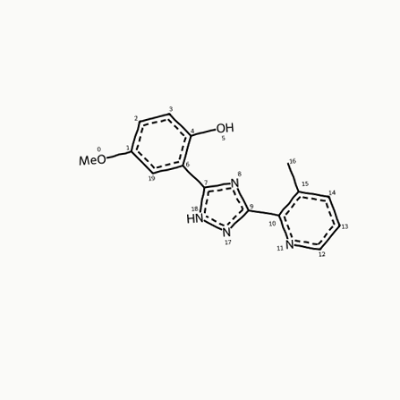 COc1ccc(O)c(-c2nc(-c3ncccc3C)n[nH]2)c1